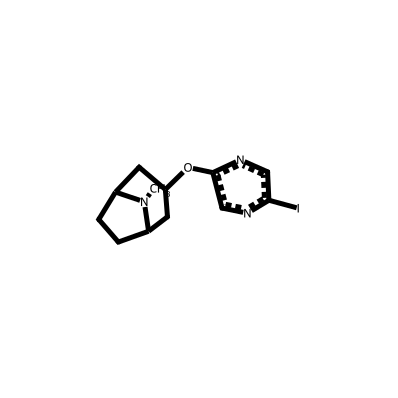 CN1C2CCC1CC(Oc1cnc(I)cn1)C2